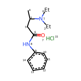 CCN(CC)C(C)CC(=O)Nc1ccccc1.Cl